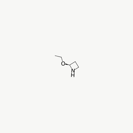 CCO[C@H]1CCN1